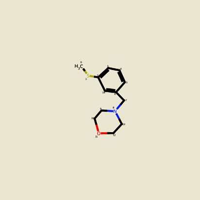 CSc1cccc(CN2CCOCC2)c1